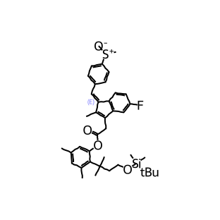 CC1=C(CC(=O)Oc2cc(C)cc(C)c2C(C)(C)CCO[Si](C)(C)C(C)(C)C)c2cc(F)ccc2/C1=C\c1ccc([S+](C)[O-])cc1